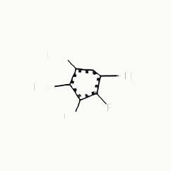 Cc1cc(P)c(F)c(C(C)C)c1C